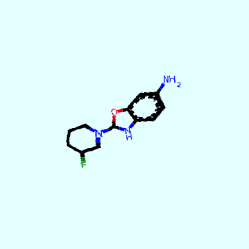 Nc1ccc2c(c1)OC(N1CCCC(F)C1)N2